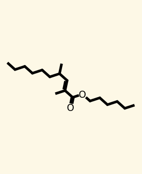 CCCCCCOC(=O)C(C)=CC(C)CCCCCC